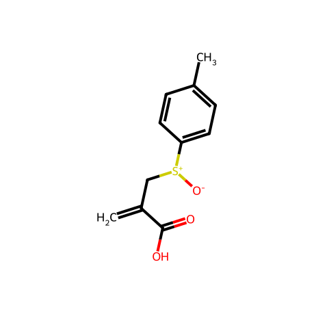 C=C(C[S+]([O-])c1ccc(C)cc1)C(=O)O